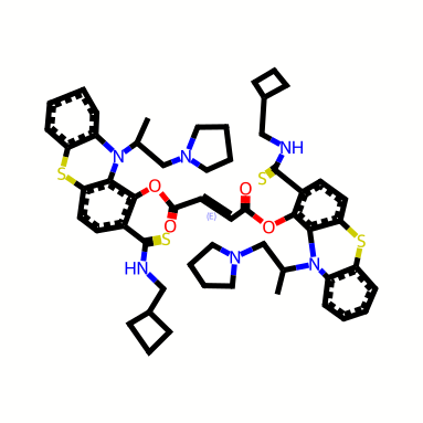 CC(CN1CCCC1)N1c2ccccc2Sc2ccc(C(=S)NCC3CCC3)c(OC(=O)/C=C/C(=O)Oc3c(C(=S)NCC4CCC4)ccc4c3N(C(C)CN3CCCC3)c3ccccc3S4)c21